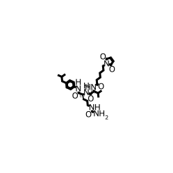 CC(C)Cc1ccc(NC(=O)[C@H](CCCNC(N)=O)NC(=O)[C@@H](NC(=O)CCCCCN2C(=O)C=CC2=O)C(C)C)cc1